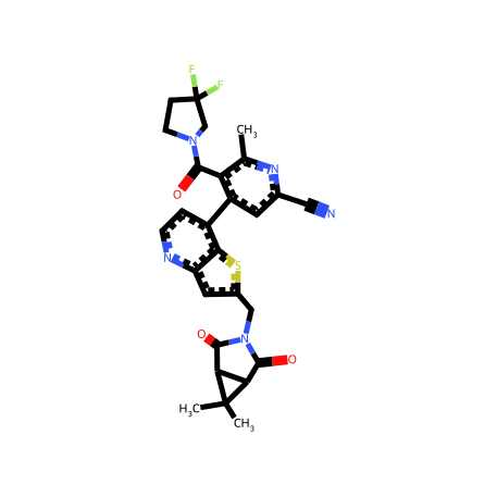 Cc1nc(C#N)cc(-c2ccnc3cc(CN4C(=O)C5C(C4=O)C5(C)C)sc23)c1C(=O)N1CCC(F)(F)C1